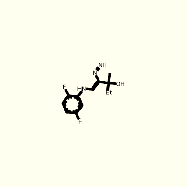 CCC(C)(O)/C(=C/Nc1cc(F)ccc1F)N=N